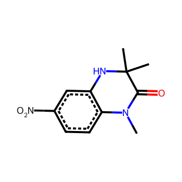 CN1C(=O)C(C)(C)Nc2cc([N+](=O)[O-])ccc21